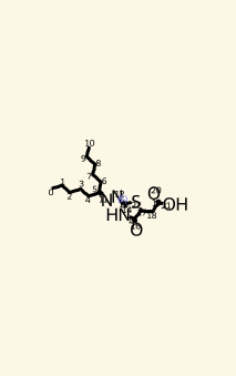 CCCCCC(CCCCC)=N/N=C1\NC(=O)C(CC(=O)O)S1